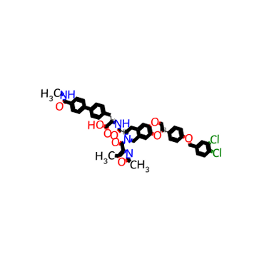 CNC(=O)c1ccc(-c2ccc(C[C@H](NC(=O)[C@@H]3Cc4cc5c(cc4CN3C(=O)c3nc(C)oc3C)O[C@@H](c3ccc(OCc4ccc(Cl)c(Cl)c4)cc3)CO5)C(=O)O)cc2)cc1